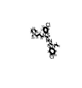 CCn1/c(=N/N=c2\sc3cc(Cl)ccc3n2CCC[N+](C)(CC)CC)sc2cc(Cl)ccc21